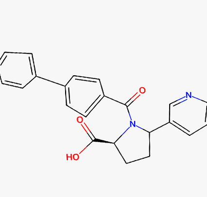 O=C(O)[C@@H]1CCC(c2cccnc2)N1C(=O)c1ccc(-c2ccccc2)cc1